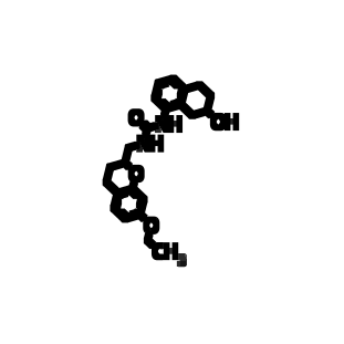 CCOc1ccc2c(c1)OC(CNC(=O)Nc1cccc3c1CC(O)CC3)CC2